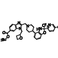 CC(C)(C)OC(=O)c1ccc2nc(CN3CCC(c4cccc5c4NC(c4ccc(Cl)cn4)(C(F)(F)F)O5)CC3)n(CC3CCO3)c2c1